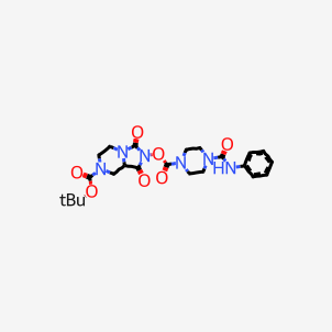 CC(C)(C)OC(=O)N1CCN2C(=O)N(OC(=O)N3CCN(C(=O)Nc4ccccc4)CC3)C(=O)C2C1